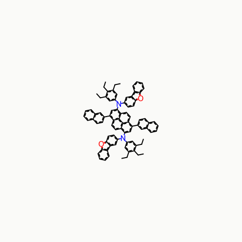 CCc1cc(N(c2ccc3oc4ccccc4c3c2)c2cc(-c3ccc4ccccc4c3)c3ccc4c(N(c5cc(CC)c(CC)c(CC)c5)c5ccc6oc7ccccc7c6c5)cc(-c5ccc6ccccc6c5)c5ccc2c3c54)cc(CC)c1CC